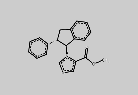 COC(=O)c1cncn1[C@@H]1c2ccccc2C[C@H]1c1ccccc1